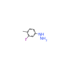 Cc1ccc(NN)cc1I